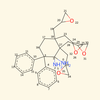 NC1(N)C(c2ccccc2)(c2ccccc2)CCC(CC2CO2)(CC2CO2)C1(CC1CO1)CC1CO1